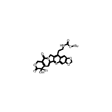 CCC1(O)C(=O)OCc2c1cc1n(c2=O)Cc2c-1nc1cc3c(cc1c2CCNC(=O)OC(C)(C)C)OCO3